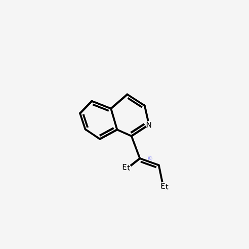 CC/C=C(\CC)c1nccc2ccccc12